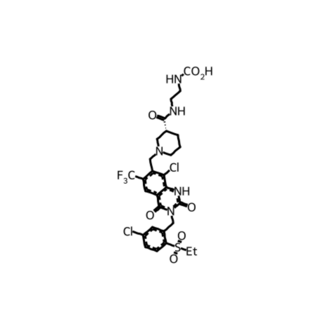 CCS(=O)(=O)c1ccc(Cl)cc1Cn1c(=O)[nH]c2c(Cl)c(CN3CCC[C@@H](C(=O)NCCNC(=O)O)C3)c(C(F)(F)F)cc2c1=O